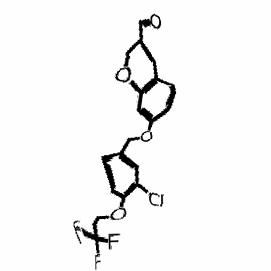 O=CC1=Cc2ccc(OCc3ccc(OCC(F)(F)F)c(Cl)c3)cc2OC1